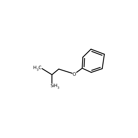 CC([SiH3])COc1ccccc1